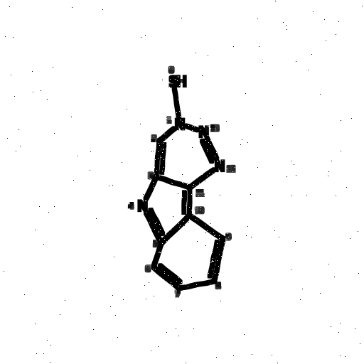 Sn1cc2nc3ccccc3c-2nn1